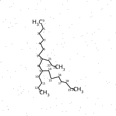 CCCCCCCC([CH]C(CCCC)CCCCCCC)CCC